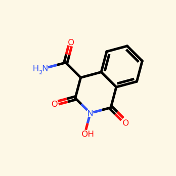 NC(=O)C1C(=O)N(O)C(=O)c2ccccc21